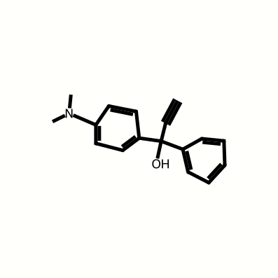 C#CC(O)(c1ccccc1)c1ccc(N(C)C)cc1